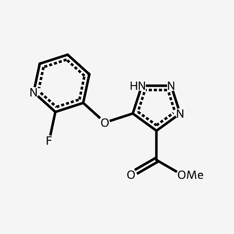 COC(=O)c1nn[nH]c1Oc1cccnc1F